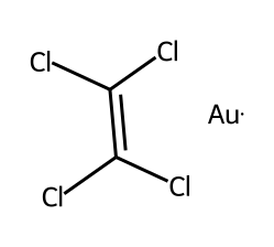 ClC(Cl)=C(Cl)Cl.[Au]